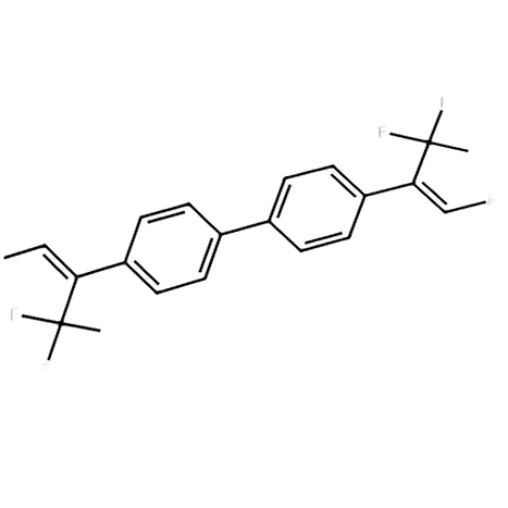 FC=C(c1ccc(-c2ccc(C(=CF)C(F)(F)F)cc2)cc1)C(F)(F)F